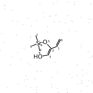 C=CC(=CO)O[Si](C)(C)C